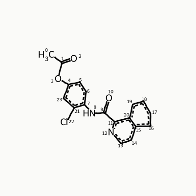 CC(=O)Oc1ccc(NC(=O)c2nccc3ccccc23)c(Cl)c1